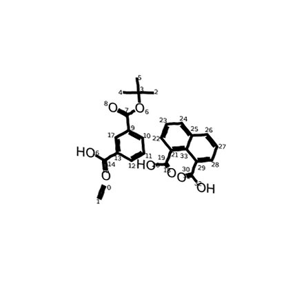 C=C.CC(C)(C)OC(=O)c1cccc(C(=O)O)c1.O=C(O)c1cccc2cccc(C(=O)O)c12